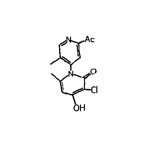 CC(=O)c1cc(-n2c(C)cc(O)c(Cl)c2=O)c(C)cn1